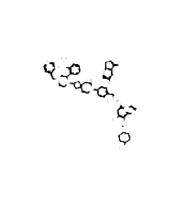 COc1cc(CN2CCN(C3CC4(CCN(c5ccc(C(=O)NSc6cc(N)c(NC[C@H]7CC[C@](C)(O)CC7)c7nccn67)c(Oc6cc7c(nc6OC)CC=C7F)c5)CC4)C3)C(c3ccccc3C(C)C)C2)ccn1